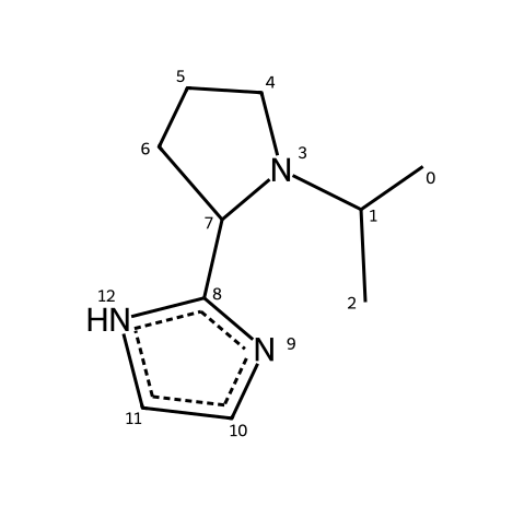 CC(C)N1CCCC1c1ncc[nH]1